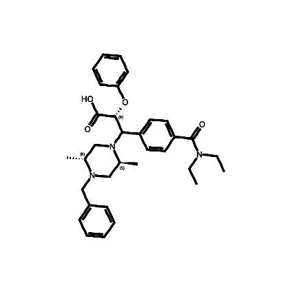 CCN(CC)C(=O)c1ccc(C([C@@H](Oc2ccccc2)C(=O)O)N2C[C@@H](C)N(Cc3ccccc3)C[C@@H]2C)cc1